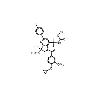 COc1cc(C(=O)NCC(SO)(c2cc(C(C)(C)NC(=O)OC(C)(C)C)cc(-c3ccc(F)cc3)n2)C(F)(F)F)ccc1OC1CC1